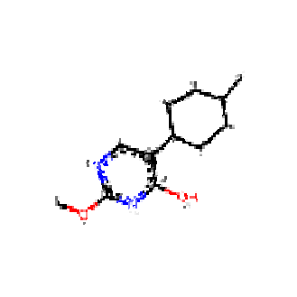 COc1ncc(C2CCC(C)CC2)c(O)n1